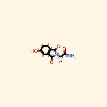 C[C@@H](C(N)=O)N1C(=O)c2ccc(O)cc2C1=O